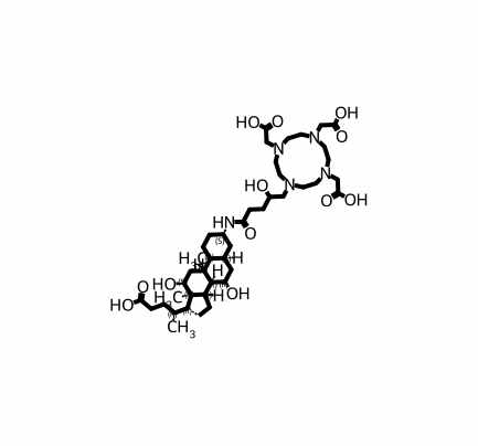 C[C@H](CCC(=O)O)[C@H]1CC[C@H]2[C@@H]3[C@H](O)C[C@@H]4C[C@@H](NC(=O)CCC(O)CN5CCN(CC(=O)O)CCN(CC(=O)O)CCN(CC(=O)O)CC5)CC[C@]4(C)[C@H]3C[C@H](O)[C@]12C